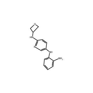 Nc1ccccc1Nc1ccc(NC2COC2)nc1